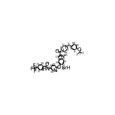 Br.CC(C)Oc1ccc(CN2CCN(C(=O)c3cc4cc(Oc5ccc(NC(=O)c6ccc(C(F)(F)F)cc6)cn5)ccc4n3C)CC2)cc1